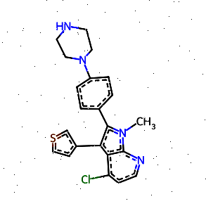 Cn1c(-c2ccc(N3CCNCC3)cc2)c(-c2ccsc2)c2c(Cl)ccnc21